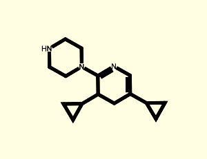 C1=C(C2CC2)CC(C2CC2)C(N2CCNCC2)=N1